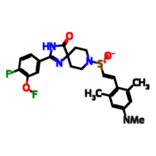 CNc1cc(C)c(/C=C/[S@+]([O-])N2CCC3(CC2)N=C(c2ccc(F)c(OF)c2)NC3=O)c(C)c1